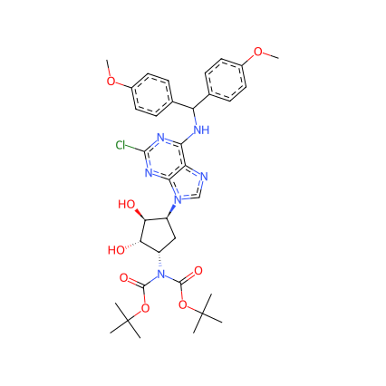 COc1ccc(C(Nc2nc(Cl)nc3c2ncn3[C@H]2C[C@H](N(C(=O)OC(C)(C)C)C(=O)OC(C)(C)C)[C@H](O)[C@H]2O)c2ccc(OC)cc2)cc1